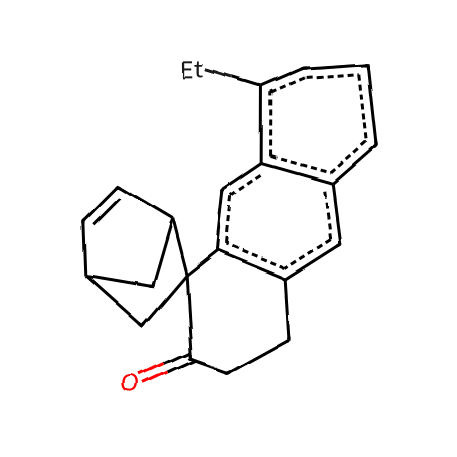 CCc1cccc2cc3c(cc12)C1(CC2C=CC1C2)C(=O)CC3